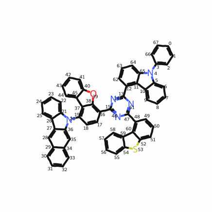 c1ccc(-n2c3ccccc3c3c(-c4nc(-c5ccc(-n6c7ccccc7c7cc8ccccc8cc76)c6c5oc5ccccc56)nc(-c5cccc6sc7ccccc7c56)n4)cccc32)cc1